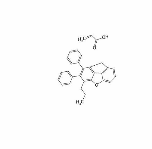 C=CC(=O)O.CCCc1c(-c2ccccc2)c(-c2ccccc2)c2c3c1oc1cccc(c13)C2